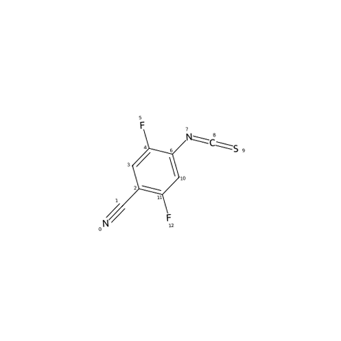 N#Cc1cc(F)c(N=C=S)cc1F